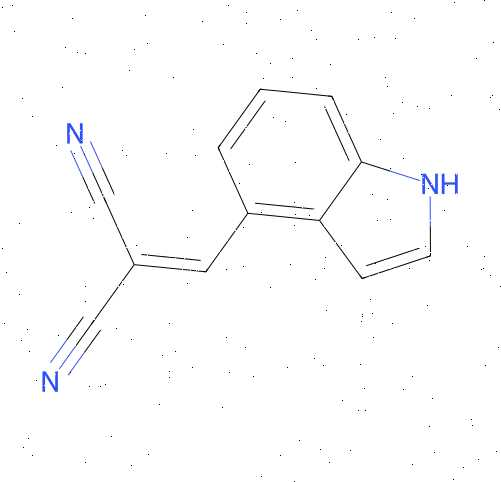 N#CC(C#N)=Cc1cccc2[nH]ccc12